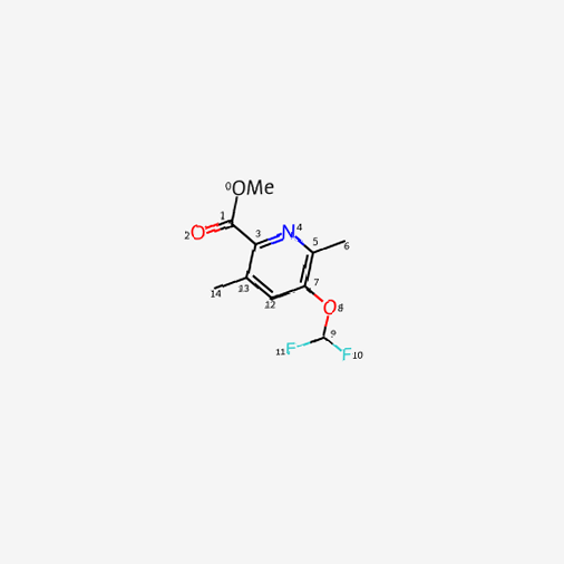 COC(=O)c1nc(C)c(OC(F)F)cc1C